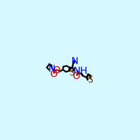 N#Cc1c(NC(=O)C=Cc2ccsc2)sc2c1CCC(COC(=O)N1CCCC1)C2